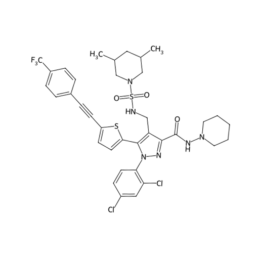 CC1CC(C)CN(S(=O)(=O)NCc2c(C(=O)NN3CCCCC3)nn(-c3ccc(Cl)cc3Cl)c2-c2ccc(C#Cc3ccc(C(F)(F)F)cc3)s2)C1